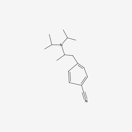 CC(C)N(C(C)C)C(C)Cc1ccc(C#N)cc1